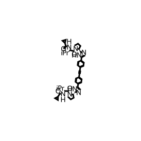 CC(C)[C@@H](NC(=O)C1CC1)C(=O)N1CCC[C@H]1c1ncc(-c2ccc(C#Cc3ccc(-c4cnc([C@@H]5CCCN5C(=O)[C@H](NC(=O)C5CC5)C(C)C)[nH]4)cc3)cc2)[nH]1